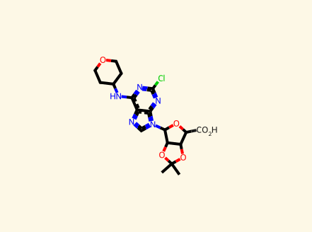 CC1(C)OC2C(C(=O)O)OC(n3cnc4c(NC5CCOCC5)nc(Cl)nc43)C2O1